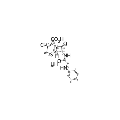 O=C(CNc1ccccc1)NC1C(=O)N2C(C(=O)O)=C(Cl)CS[C@H]12.[LiH]